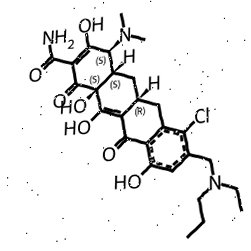 CCCN(CC)Cc1cc(O)c2c(c1Cl)C[C@H]1C[C@H]3[C@H](N(C)C)C(O)=C(C(N)=O)C(=O)[C@@]3(O)C(O)=C1C2=O